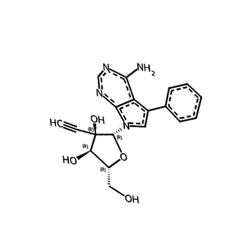 C#C[C@@]1(O)[C@H](O)[C@@H](CO)O[C@H]1n1cc(-c2ccccc2)c2c(N)ncnc21